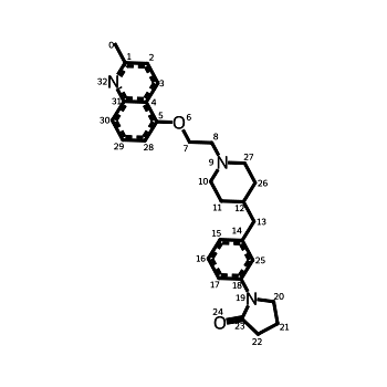 Cc1ccc2c(OCCN3CCC(Cc4cccc(N5CCCC5=O)c4)CC3)cccc2n1